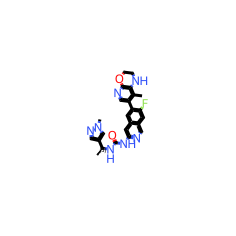 Cc1c(-c2cc3cc(NC(=O)N[C@@H](C)c4cnn(C)c4)ncc3cc2F)cnc2c1NCCO2